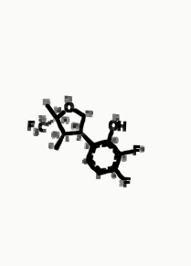 C[C@@H]1[C@H](c2ccc(F)c(F)c2O)CO[C@@]1(C)C(F)(F)F